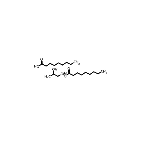 CC(O)CO.CCCCCCCCC(=O)O.CCCCCCCCC(=O)O